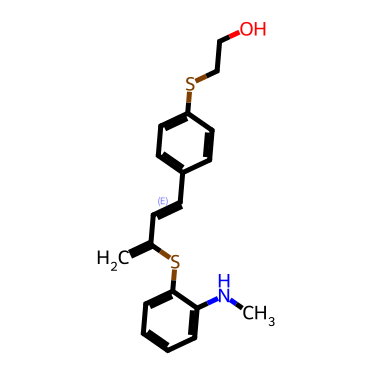 C=C(/C=C/c1ccc(SCCO)cc1)Sc1ccccc1NC